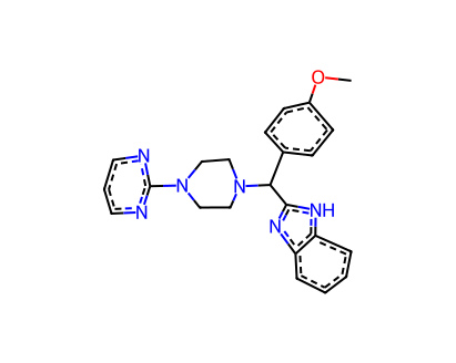 COc1ccc(C(c2nc3ccccc3[nH]2)N2CCN(c3ncccn3)CC2)cc1